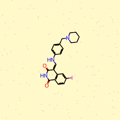 O=C1NC(=O)c2ccc(I)cc2C1=CNc1ccc(CN2CCCCC2)cc1